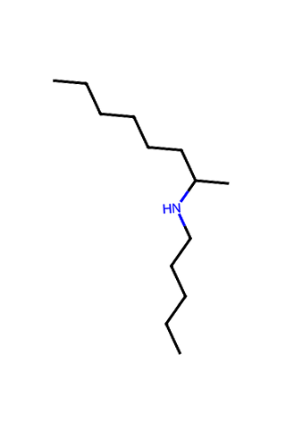 CCCCCCC(C)NCCCCC